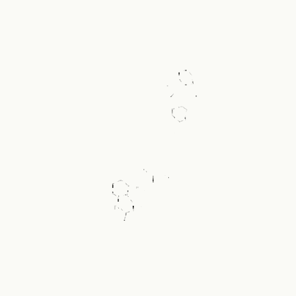 CC(C)(C)OC(=O)N(CCCCCOc1ccc(C(O)(C(=O)O)c2ccccc2)cc1)C[C@H](O[Si](C)(C)C(C)(C)C)c1ccc(O)c2[nH]c(=O)ccc12